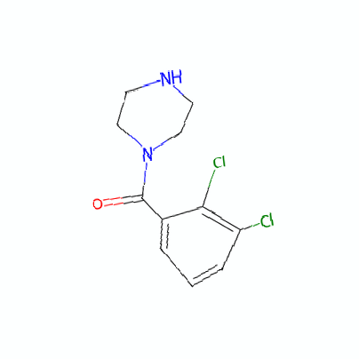 O=C(c1cccc(Cl)c1Cl)N1CCNCC1